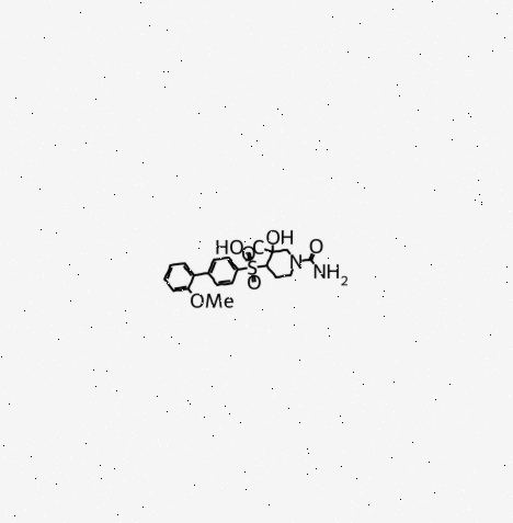 COc1ccccc1-c1ccc(S(=O)(=O)C2CCN(C(N)=O)CC2(O)C(=O)O)cc1